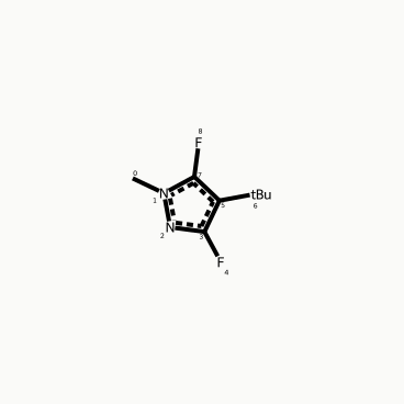 Cn1nc(F)c(C(C)(C)C)c1F